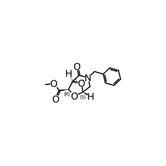 COC(=O)[C@@H]1O[C@H]2CN(Cc3ccccc3)C(=O)[C@H]1O2